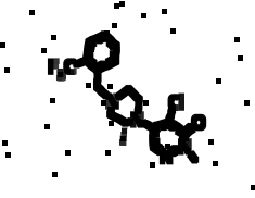 C[C@@H]1CN(Cc2ccccc2C(F)(F)F)CCN1c1cnn(C)c(=O)c1Cl